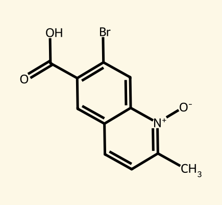 Cc1ccc2cc(C(=O)O)c(Br)cc2[n+]1[O-]